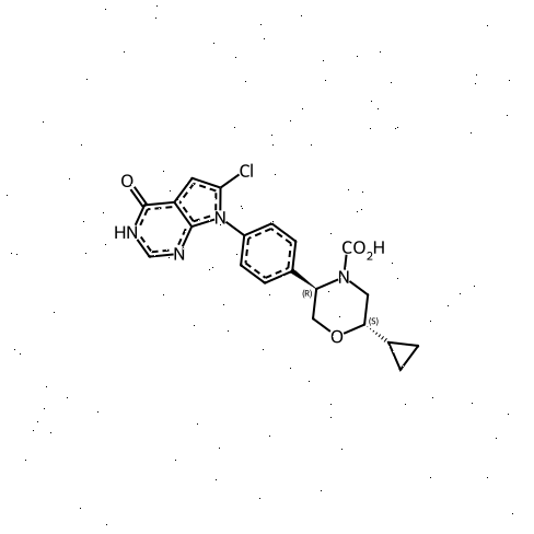 O=C(O)N1C[C@H](C2CC2)OC[C@H]1c1ccc(-n2c(Cl)cc3c(=O)[nH]cnc32)cc1